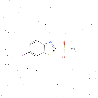 CS(=O)(=O)c1nc2ccc(I)cc2s1